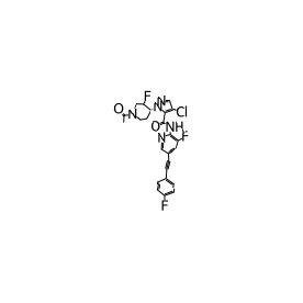 CC(=O)N1CC[C@@H](n2ncc(Cl)c2C(=O)Nc2ncc(C#Cc3ccc(F)cc3)cc2F)[C@H](F)C1